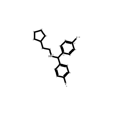 Fc1ccc(C(NCCC2CCCC2)c2ccc(F)cc2)cc1